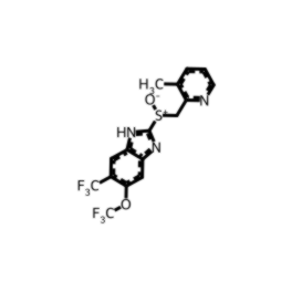 Cc1cccnc1C[S+]([O-])c1nc2cc(OC(F)(F)F)c(C(F)(F)F)cc2[nH]1